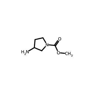 COC(=O)N1CCC(N)C1